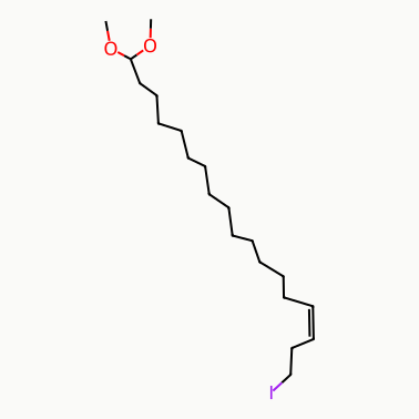 COC(CCCCCCCCCCCCC/C=C\CCI)OC